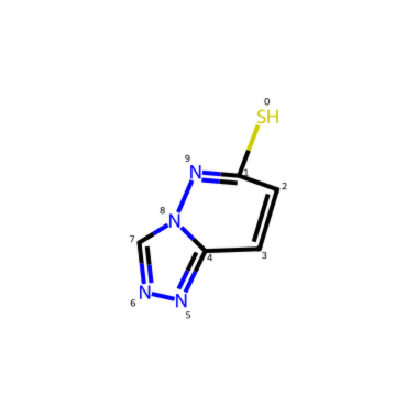 Sc1ccc2nncn2n1